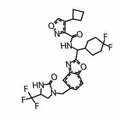 O=C(NC(c1nc2cc(CN3CC(C(F)(F)F)NC3=O)ccc2o1)C1CCC(F)(F)CC1)c1nocc1C1CCC1